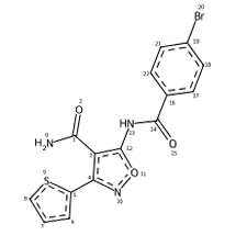 NC(=O)c1c(-c2cccs2)noc1NC(=O)c1ccc(Br)cc1